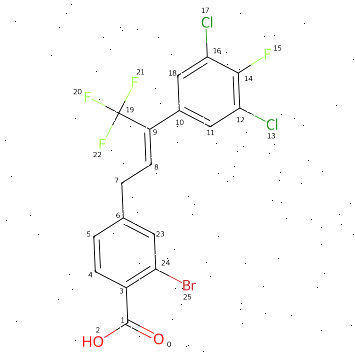 O=C(O)c1ccc(CC=C(c2cc(Cl)c(F)c(Cl)c2)C(F)(F)F)cc1Br